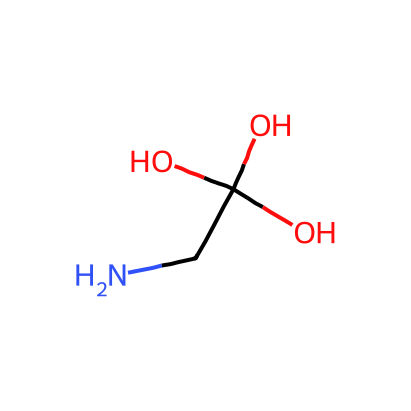 NCC(O)(O)O